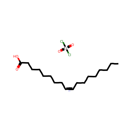 CCCCCCCC/C=C\CCCCCCCC(=O)O.[O]=[Cr](=[O])([Cl])[Cl]